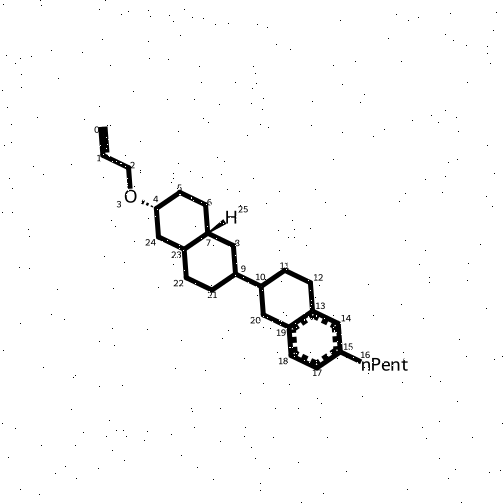 C=CCO[C@@H]1CC[C@@H]2CC(C3CCc4cc(CCCCC)ccc4C3)CCC2C1